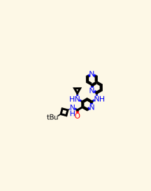 CC(C)(C)[C@H]1C[C@H](NC(=O)c2cnc(Nc3ccc4cnccc4n3)cc2NC2CC2)C1